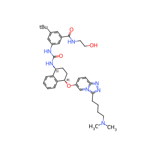 CN(C)CCCCc1nnc2ccc(O[C@@H]3CC[C@H](NC(=O)Nc4cc(C(=O)NCCO)cc(C(C)(C)C)c4)c4ccccc43)cn12